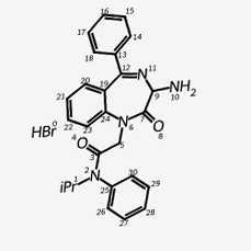 Br.CC(C)N(C(=O)CN1C(=O)C(N)N=C(c2ccccc2)c2ccccc21)c1ccccc1